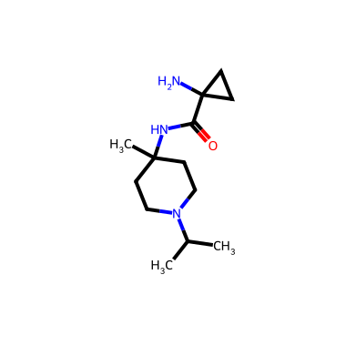 CC(C)N1CCC(C)(NC(=O)C2(N)CC2)CC1